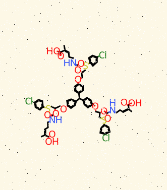 CC(=CCCNC(=O)OC(COc1ccc(C(c2ccc(OCC(CSc3ccc(Cl)cc3)OC(=O)NCCC=C(C)C(=O)O)cc2)c2ccc(OCC(CSc3ccc(Cl)cc3)OC(=O)NCCC=C(C)C(=O)O)cc2)cc1)CSc1ccc(Cl)cc1)C(=O)O